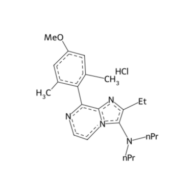 CCCN(CCC)c1c(CC)nc2c(-c3c(C)cc(OC)cc3C)nccn12.Cl